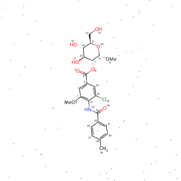 COc1cc(C(=O)O[C@H]2[C@@H](OC)O[C@H](CO)[C@@H](O)[C@@H]2O)cc(Cl)c1NC(=O)c1ccc(C)cc1